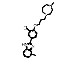 Cc1cccc2[nH]c(-c3ccc(OCCCN4CCCN(C)CC4)c(Cl)c3)nc12